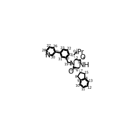 CC(C)C[C@@H]1C(=O)N[C@H](C2Cc3ccccc3C2)C(=O)N1Cc1cccc(-c2cccnc2)c1